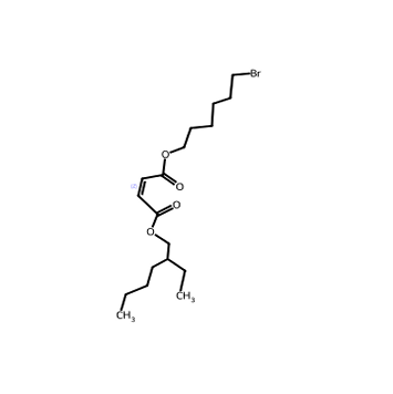 CCCCC(CC)COC(=O)/C=C\C(=O)OCCCCCCBr